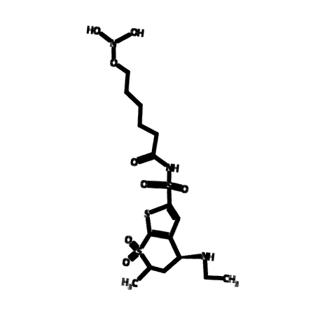 CCN[C@H]1CC(C)S(=O)(=O)c2sc(S(=O)(=O)NC(=O)CCCCCON(O)O)cc21